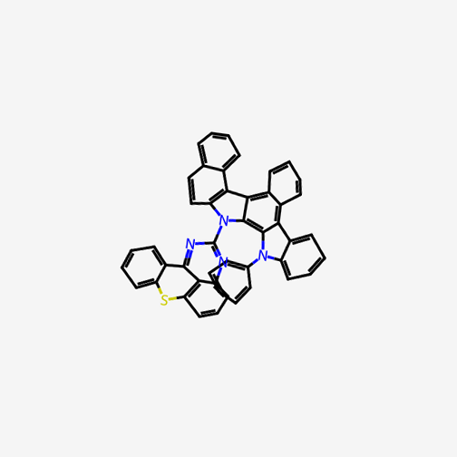 c1ccc(-n2c3ccccc3c3c4ccccc4c4c5c6ccccc6ccc5n(-c5nc6c7c(cccc7n5)Sc5ccccc5-6)c4c32)cc1